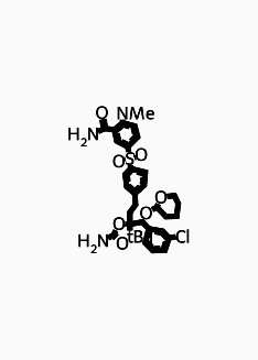 CNc1ccc(S(=O)(=O)c2ccc(CCC(OC(N)=O)([C@H](OC3CCCCO3)c3cccc(Cl)c3)C(C)(C)C)cc2)cc1C(N)=O